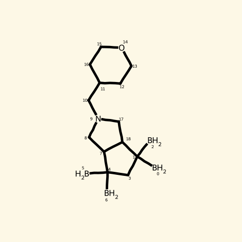 BC1(B)CC(B)(B)C2CN(CC3CCOCC3)CC21